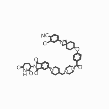 N#Cc1ccc(N2CC3(CCC(Oc4ccc(C(=O)N5CCN(CC6CCN(c7ccc8c(c7)C(=O)N(C7CCC(=O)NC7=O)C8=O)CC6)CC5)cc4)CC3)C2)cc1Cl